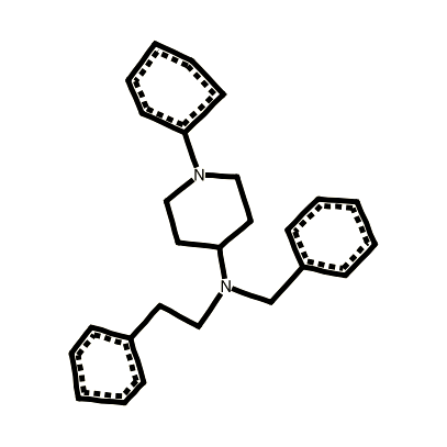 c1ccc(CCN(Cc2ccccc2)C2CCN(c3ccccc3)CC2)cc1